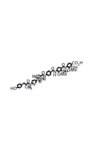 COc1c(NC(=O)c2ccc(NC(=O)c3ccc(NC(=O)[C@H](CC#N)NS(=O)(=O)c4ccc(NC(=O)/C(C)=C/c5ccc(O)cc5)nc4)cc3)c(OC)c2O)ccc(C(=O)O)c1O